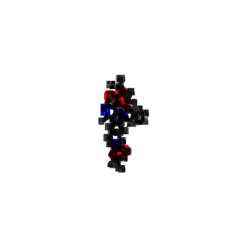 Cc1nc(C)c([C@H](OC(C)(C)C)C(=O)OC(C)C)c(N2CCC3(CCCC3)CC2)c1-c1ccc2c(c1)CCN(C(=O)OC(C)(C)C)C2